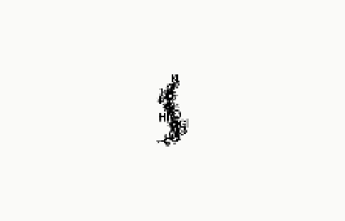 CCN(OCCC(C)C)C(=O)c1ccc(NC(=O)c2ncc(-c3ccc(OCC#N)c(F)c3F)n2C)cc1Cl